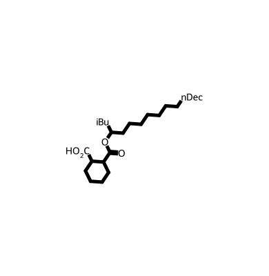 CCCCCCCCCCCCCCCCCC(OC(=O)C1CCCCC1C(=O)O)C(C)CC